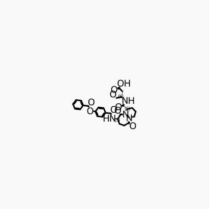 O=C[C@H](CC(=O)O)NC(=O)[C@@H]1CCCN2C(=O)CC[C@H](NC(=O)c3ccc(OC(=O)c4ccccc4)cc3)C(=O)N12